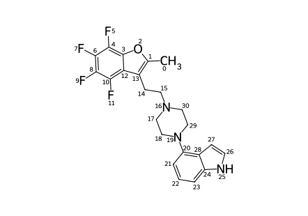 Cc1oc2c(F)c(F)c(F)c(F)c2c1CCN1CCN(c2cccc3[nH]ccc23)CC1